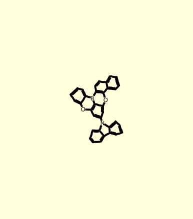 c1ccc2c(c1)Oc1cc(-n3c4ccccc4c4ccccc43)cc3c1B2c1ccc2ccccc2c1O3